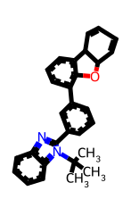 CC(C)(C)n1c(-c2cccc(-c3cccc4c3OC3C=CC=CC43)c2)nc2ccccc21